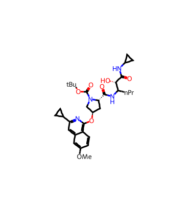 CCCC(NC(=O)[C@@H]1C[C@@H](Oc2nc(C3CC3)cc3cc(OC)ccc23)CN1C(=O)OC(C)(C)C)[C@H](O)C(=O)NC1CC1